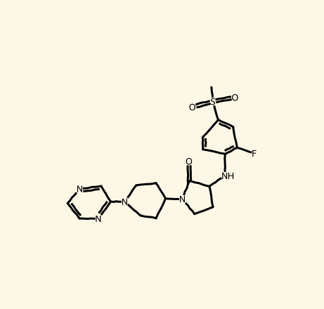 CS(=O)(=O)c1ccc(NC2CCN(C3CCN(c4cnccn4)CC3)C2=O)c(F)c1